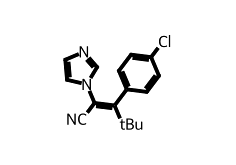 CC(C)(C)/C(=C(\C#N)n1ccnc1)c1ccc(Cl)cc1